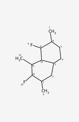 CC1CC2CCC(C)C(F)C2C(C)C1F